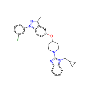 Cc1nn(-c2cccc(F)c2)c2ccc(OC3CCN(c4nc5ccccc5n4CC4CC4)CC3)cc12